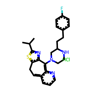 CC(C)c1nc2c(s1)CC=c1cccnc1=C2N1CCNC(CCc2ccc(F)cc2)C1.Cl